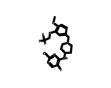 COc1ccc(CN2CCC(Nc3nc(Cl)ncc3F)CC2)cc1OCC(F)(F)F